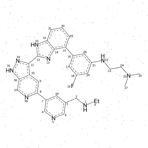 CCNCc1cncc(-c2cc3c(-c4nc5c(-c6cc(F)cc(NCCN(C)C)c6)cccc5[nH]4)n[nH]c3cn2)c1